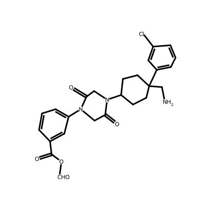 NCC1(c2cccc(Cl)c2)CCC(N2CC(=O)N(c3cccc(C(=O)OC=O)c3)CC2=O)CC1